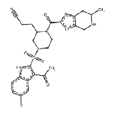 CC(=O)c1c(S(=O)(=O)N2CCN(C(=O)c3nc4c(o3)CNC(C)C4)C(CCC#N)C2)[nH]c2ccc(Cl)cc12